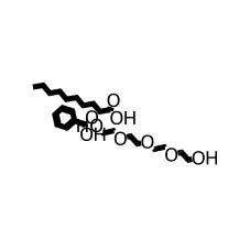 CCCCCCCCCC(=O)O.O=C(O)c1ccccc1.OCCOCCOCCOCCO